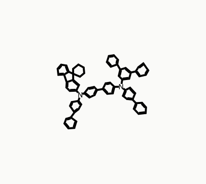 c1ccc(-c2ccc(N(c3ccc(-c4ccc(N(c5ccc(-c6ccccc6)cc5)c5ccc6c(c5)C5(CCCCC5)c5ccccc5-6)cc4)cc3)c3cc(-c4ccccc4)cc(-c4ccccc4)c3)cc2)cc1